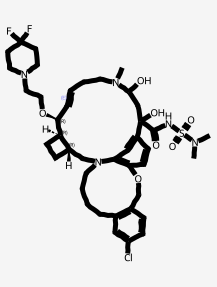 CN1CC/C=C/[C@H](OCCN2CCC(F)(F)CC2)[C@@H]2CC[C@H]2CN2CCCCc3cc(Cl)ccc3COc3ccc(cc32)C(O)(C(=O)NS(=O)(=O)N(C)C)CC1O